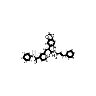 CC(NCC=Cc1ccccc1)C(Cc1cc(C(=O)Nc2ccccc2)ccn1)c1ccc2c(c1)OCO2